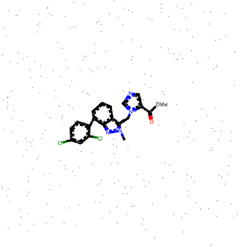 COC(=O)c1cncn1Cc1c2cccc(-c3ccc(Cl)cc3Cl)c2nn1C